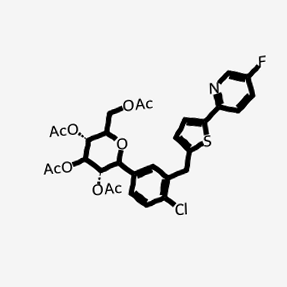 CC(=O)OCC1OC(c2ccc(Cl)c(Cc3ccc(-c4ccc(F)cn4)s3)c2)[C@H](OC(C)=O)C(OC(C)=O)[C@@H]1OC(C)=O